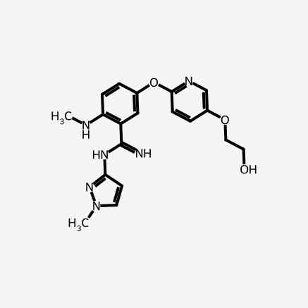 CNc1ccc(Oc2ccc(OCCO)cn2)cc1C(=N)Nc1ccn(C)n1